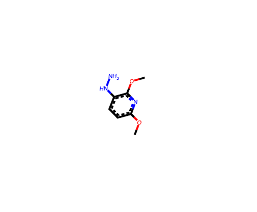 COc1ccc(NN)c(OC)n1